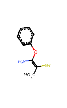 NC(Oc1ccccc1)=C(S)C(=O)O